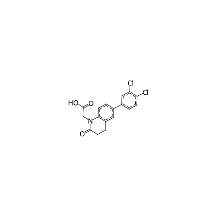 O=C(O)CN1C(=O)CCc2cc(-c3ccc(Cl)c(Cl)c3)ccc21